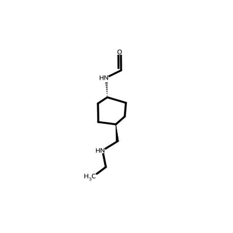 CCNC[C@H]1CC[C@H](NC=O)CC1